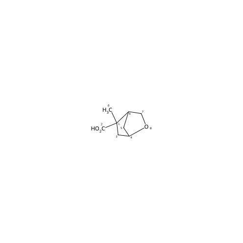 CC1(C(=O)O)CC2CC1CO2